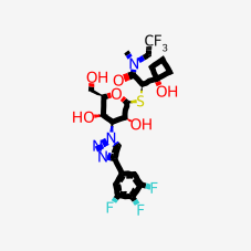 CN(CC(F)(F)F)C(=O)[C@@H](S[C@@H]1O[C@H](CO)[C@H](O)[C@H](n2cc(-c3cc(F)c(F)c(F)c3)nn2)[C@H]1O)C1(O)CCC1